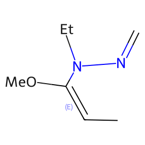 C=NN(CC)/C(=C\C)OC